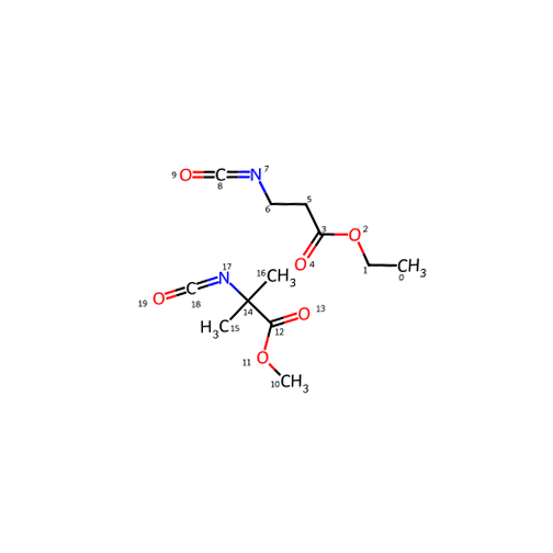 CCOC(=O)CCN=C=O.COC(=O)C(C)(C)N=C=O